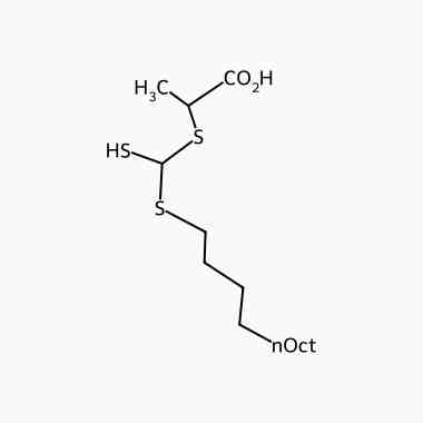 CCCCCCCCCCCCSC(S)SC(C)C(=O)O